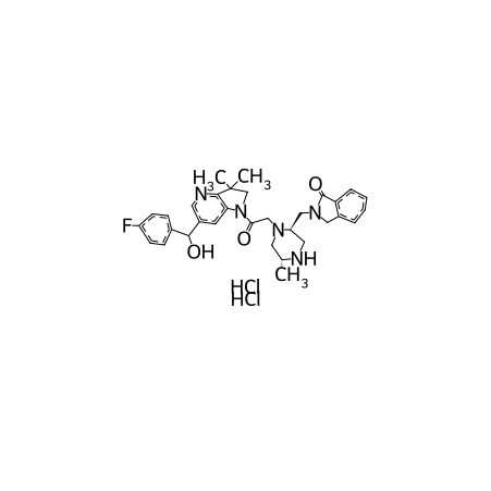 C[C@@H]1CN(CC(=O)N2CC(C)(C)c3ncc(C(O)c4ccc(F)cc4)cc32)[C@@H](CN2Cc3ccccc3C2=O)CN1.Cl.Cl